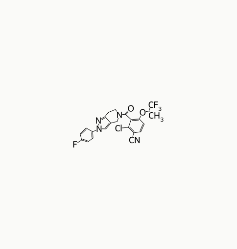 CC(Oc1ccc(C#N)c(Cl)c1C(=O)N1CCc2nn(-c3ccc(F)cc3)cc2C1)C(F)(F)F